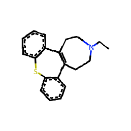 CCN1CCC2=C(CC1)c1ccccc1Sc1ccccc12